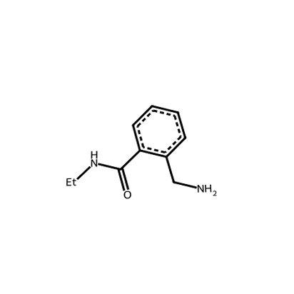 [CH2]CNC(=O)c1ccccc1CN